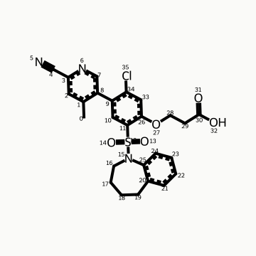 Cc1cc(C#N)ncc1-c1cc(S(=O)(=O)N2CCCCc3ccccc32)c(OCCC(=O)O)cc1Cl